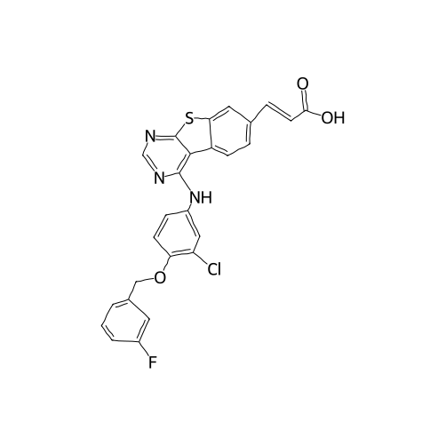 O=C(O)C=Cc1ccc2c(c1)sc1ncnc(Nc3ccc(OCc4cccc(F)c4)c(Cl)c3)c12